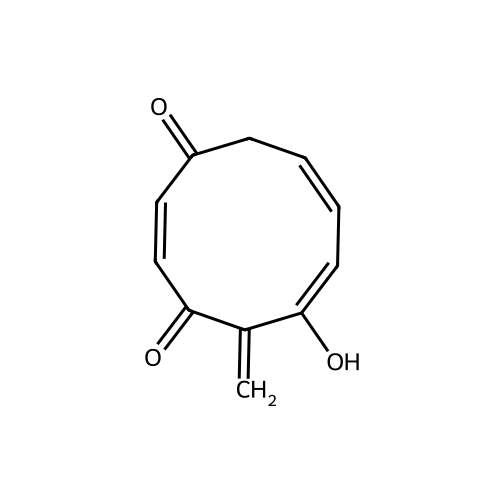 C=C1C(=O)/C=C\C(=O)C/C=C\C=C/1O